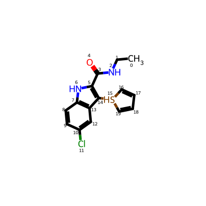 CCNC(=O)c1[nH]c2ccc(Cl)cc2c1[SH]1C=CC=C1